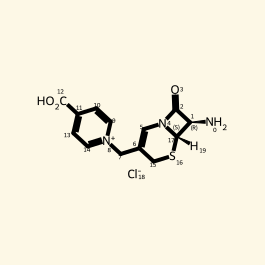 N[C@@H]1C(=O)N2C=C(C[n+]3ccc(C(=O)O)cc3)CS[C@@H]12.[Cl-]